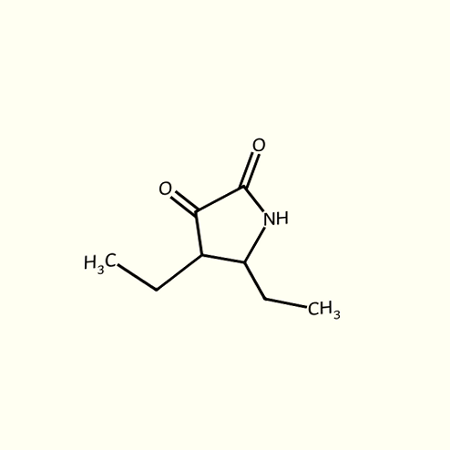 CCC1NC(=O)C(=O)C1CC